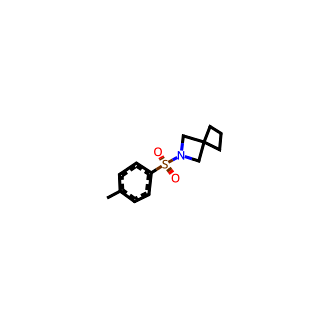 Cc1ccc(S(=O)(=O)N2CC3(CCC3)C2)cc1